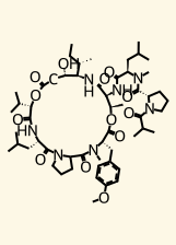 CC[C@H](C)[C@H]1NC(=O)[C@@H](NC(=O)[C@@H](CC(C)C)N(C)C(=O)[C@@H]2CCCN2C(=O)C(C)C)[C@@H](C)OC(=O)[C@H](Cc2ccc(OC)cc2)N(C)C(=O)C2CCCN2C(=O)[C@H](CC(C)C)NC(=O)[C@H](C(C)C)OC(=O)C[C@@H]1O